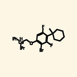 C[CH](C)[GeH]([CH2]Oc1cc(F)c(C2(C)CCCCC2)c(F)c1Br)[CH](C)C